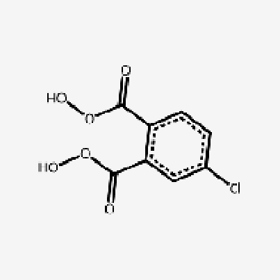 O=C(OO)c1ccc(Cl)cc1C(=O)OO